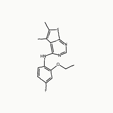 CCOc1cc(F)ccc1Nc1ncnc2sc(C)c(C)c12